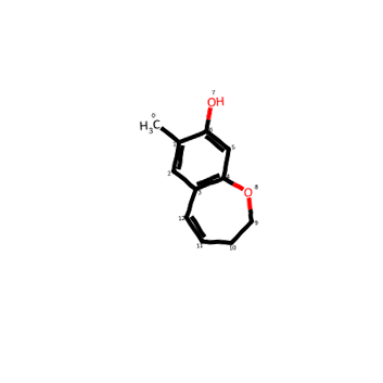 Cc1cc2c(cc1O)OCCC=C2